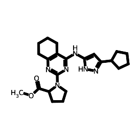 COC(=O)C1CCCN1c1nc2c(c(Nc3cc(C4CCCC4)n[nH]3)n1)CCCC2